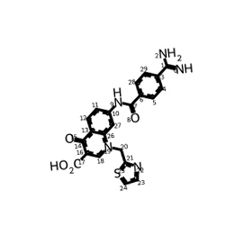 N=C(N)c1ccc(C(=O)Nc2ccc3c(=O)c(C(=O)O)cn(Cc4nccs4)c3c2)cc1